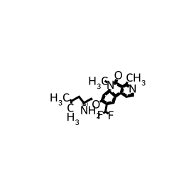 Cc1nccc2c1c(=O)n(C)c1cc(OC[C@@H](N)CC(C)C)c(C(F)F)cc21